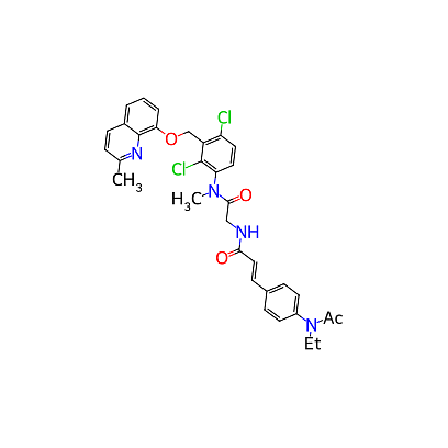 CCN(C(C)=O)c1ccc(C=CC(=O)NCC(=O)N(C)c2ccc(Cl)c(COc3cccc4ccc(C)nc34)c2Cl)cc1